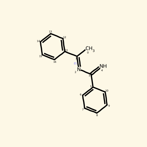 C/C(=N\C(=N)c1ccccc1)c1ccccc1